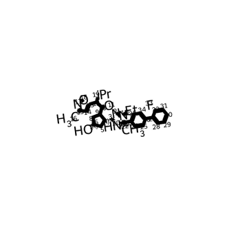 CCN1N=C([C@@H]2C[C@@H](O)CC2C(=O)C(c2cc(C)no2)C(C)C)N[C@@]1(C)c1ccc(-c2ccccc2F)cc1